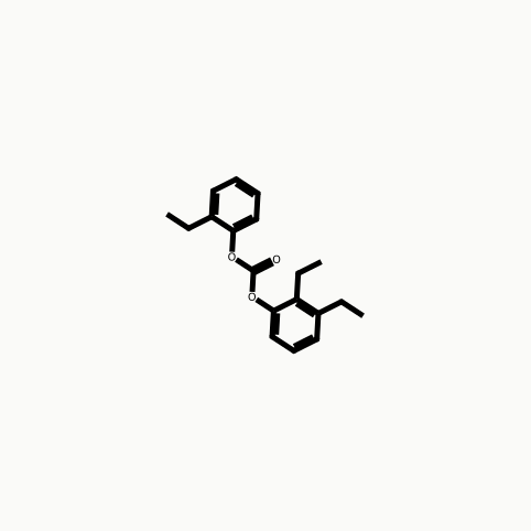 CCc1ccccc1OC(=O)Oc1cccc(CC)c1CC